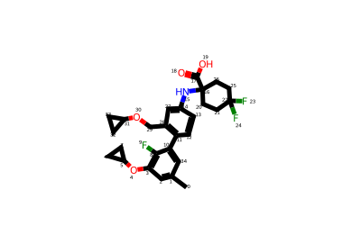 Cc1cc(OC2CC2)c(F)c(-c2ccc(NC3(C(=O)O)CCC(F)(F)CC3)cc2COC2CC2)c1